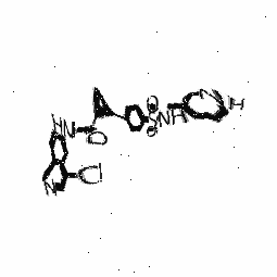 O=C(Nc1ccc2cncc(Cl)c2c1)[C@@H]1C[C@H]1c1ccc(S(=O)(=O)NCC2CCCNC2)cc1